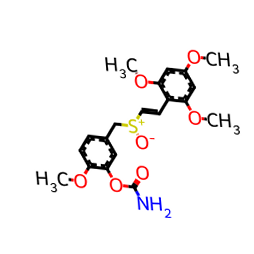 COc1cc(OC)c(/C=C/[S+]([O-])Cc2ccc(OC)c(OC(N)=O)c2)c(OC)c1